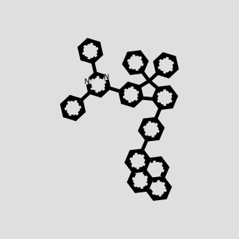 c1ccc(-c2cc(-c3ccc4c(c3)C(c3ccccc3)(c3ccccc3)c3cccc(-c5ccc(-c6ccc7ccc8cccc9ccc6c7c89)cc5)c3-4)nc(-c3ccccc3)n2)cc1